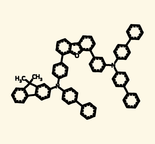 CC1(C)c2ccccc2-c2ccc(N(c3ccc(-c4ccccc4)cc3)c3ccc(-c4cccc5c4oc4c(-c6cccc(N(c7ccc(-c8ccccc8)cc7)c7ccc(-c8ccccc8)cc7)c6)cccc45)cc3)cc21